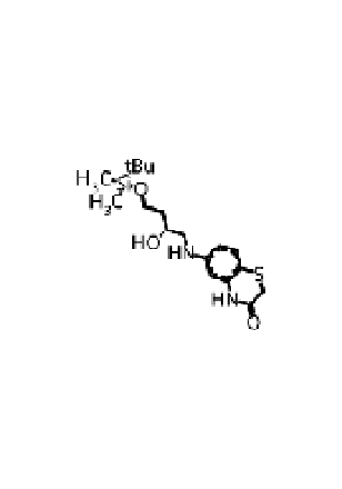 CC(C)(C)[Si](C)(C)OCC[C@@H](O)CNc1ccc2c(c1)NC(=O)CS2